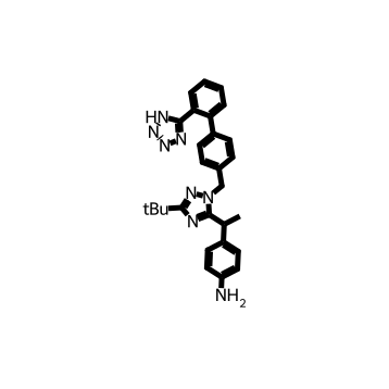 CC(c1ccc(N)cc1)c1nc(C(C)(C)C)nn1Cc1ccc(-c2ccccc2-c2nnn[nH]2)cc1